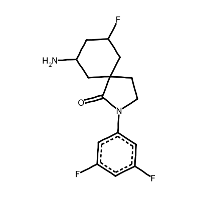 NC1CC(F)CC2(CCN(c3cc(F)cc(F)c3)C2=O)C1